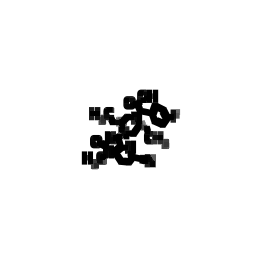 CC[C@H]1CN(C(C(=O)O)c2ccc(F)cc2)[C@H](CC)CN1c1nc(=O)n(C)c2ccc(C#N)nc12